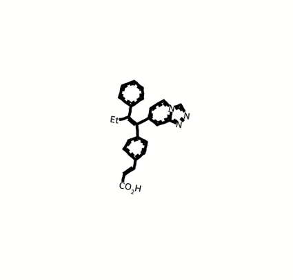 CCC(=C(c1ccc(C=CC(=O)O)cc1)c1ccn2cnnc2c1)c1ccccc1